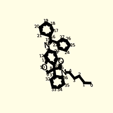 CCCCCN1C(=O)C2(COc3cc(N=C(c4ccccc4)c4ccccc4)ccc32)c2ccccc21